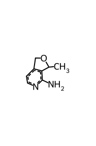 CC1OCc2ccnc(N)c21